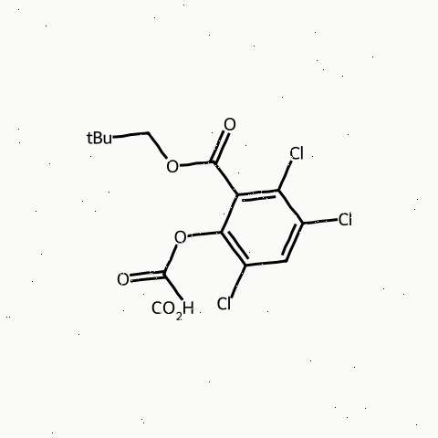 CC(C)(C)COC(=O)c1c(Cl)c(Cl)cc(Cl)c1OC(=O)C(=O)O